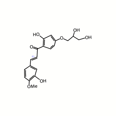 COc1ccc(/C=C/C(=O)c2ccc(OCC(O)CO)cc2O)cc1O